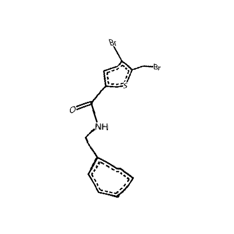 O=C(NCc1ccccc1)c1cc(Br)c(Br)s1